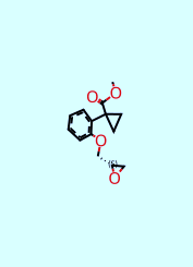 COC(=O)C1(c2ccccc2OC[C@@H]2CO2)CC1